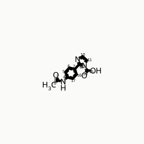 CC(=O)Nc1ccc(-c2nccn2C(=O)O)cc1